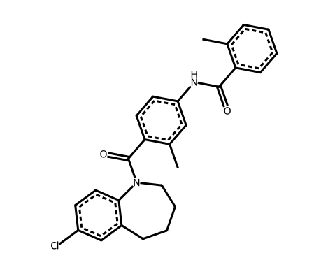 Cc1ccccc1C(=O)Nc1ccc(C(=O)N2CCCCc3cc(Cl)ccc32)c(C)c1